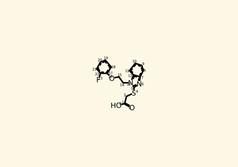 O=C(O)CSc1nc2ccccc2n1CCOc1ccccc1F